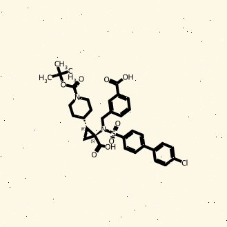 CC(C)(C)OC(=O)N1CCC([C@H]2C[C@]2(C(=O)O)N(Cc2cccc(C(=O)O)c2)S(=O)(=O)c2ccc(-c3ccc(Cl)cc3)cc2)CC1